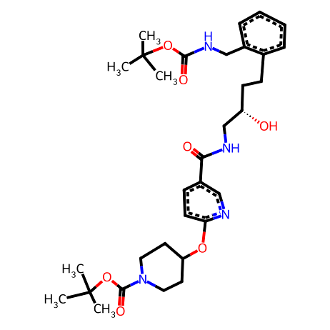 CC(C)(C)OC(=O)NCc1ccccc1CC[C@H](O)CNC(=O)c1ccc(OC2CCN(C(=O)OC(C)(C)C)CC2)nc1